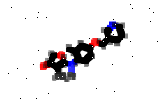 CCOC(=O)C1=C(Nc2ccc(OCc3cccnc3)cc2C)OCC1=O